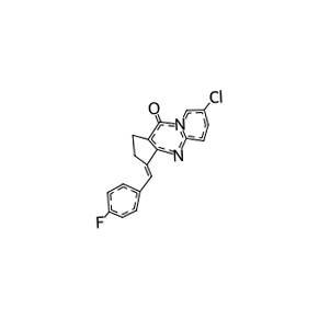 O=c1c2c(nc3ccc(Cl)cn13)C(=Cc1ccc(F)cc1)CC2